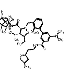 COc1c(CN2O[C@@H](CO)[C@H]([C@H](C)O)[C@H]2C(=O)N[C@H]2C[C@H]3C[C@@H]([C@@H]2C)C3(C)C)cccc1-c1cc(C(=O)NCCC2CC(C)CS2)cc(N(C)C)c1